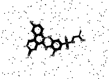 C[C@@H](O)CNS(=O)(=O)c1cc(Cl)c(Nc2nc3ccc(F)cc3c3c2=CC(=O)[N]C=3)c(Cl)c1